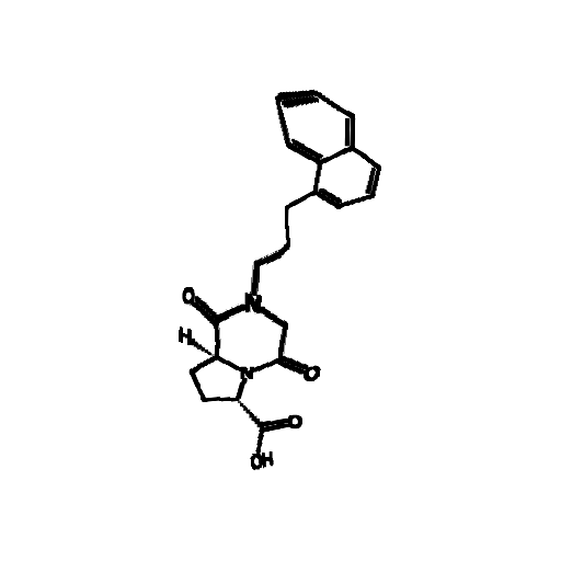 O=C(O)[C@@H]1CC[C@H]2C(=O)N(CCCc3cccc4ccccc34)CC(=O)N12